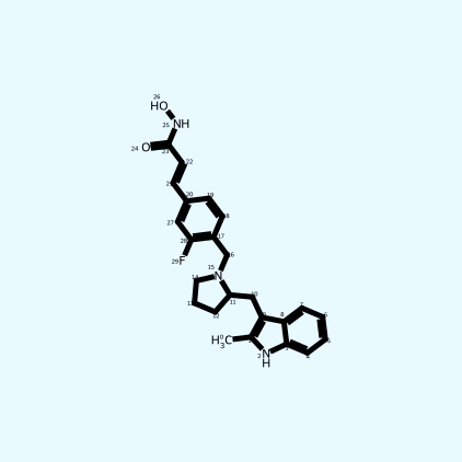 Cc1[nH]c2ccccc2c1CC1CCCN1Cc1ccc(C=CC(=O)NO)cc1F